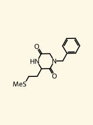 CSCCC1NC(=O)CN(Cc2ccccc2)C1=O